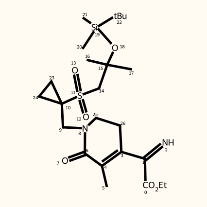 CCOC(=O)C(=N)C1=C(C)C(=O)N(CC2(S(=O)(=O)CC(C)(C)O[Si](C)(C)C(C)(C)C)CC2)CC1